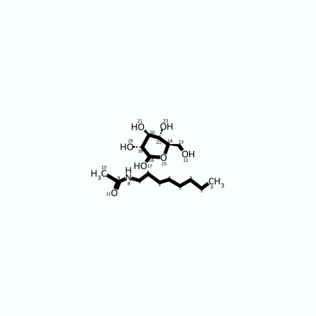 CCCCCCCCNC(C)=O.OC[C@H]1OC(O)[C@H](O)[C@@H](O)[C@@H]1O